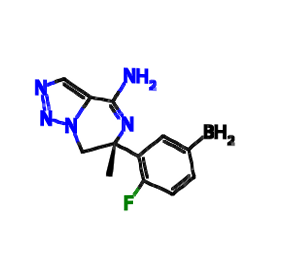 Bc1ccc(F)c([C@]2(C)Cn3nncc3C(N)=N2)c1